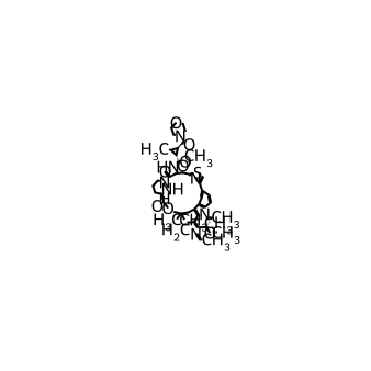 C=C/C(=C(\N=C/C)[C@H](C)OC)c1c2c3cc(ccc3n1CC)-c1csc(n1)[C@@H](OCC)[C@H](NC(=O)[C@@H]1[C@@H](C)[C@H]1C(=O)N1CCOCC1)C(=O)N1CCC[C@H](N1)C(=O)OCC(C)(C)C2